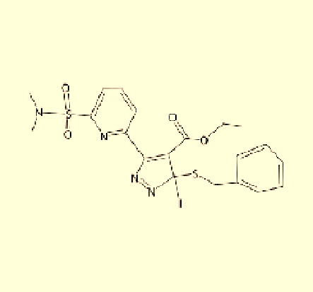 CCOC(=O)C1=C(c2cccc(S(=O)(=O)N(C)C)n2)N=NC1(I)SCc1ccccc1